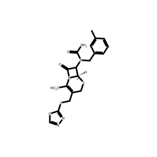 Cc1cccc(CN(C(N)=O)C2C(=O)N3C(C(=O)O)=C(CSc4nnco4)CS[C@H]23)c1